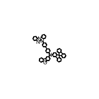 c1ccc2c(c1)-c1ccccc1C21c2ccccc2-c2cc(N(c3ccc(-c4ccc(-n5c6ccccc6n6c7ccccc7nc56)cc4)cc3)c3ccc4oc5ccccc5c4c3)ccc21